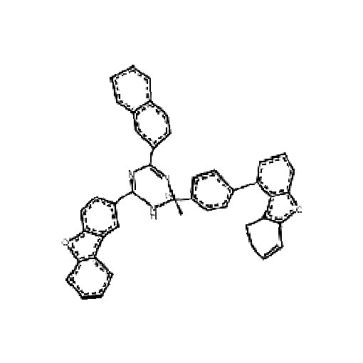 C[C@]1(c2ccc(-c3cccc4oc5c(c34)CCC=C5)cc2)N=C(c2ccc3ccccc3c2)N=C(c2ccc3oc4ccccc4c3c2)N1